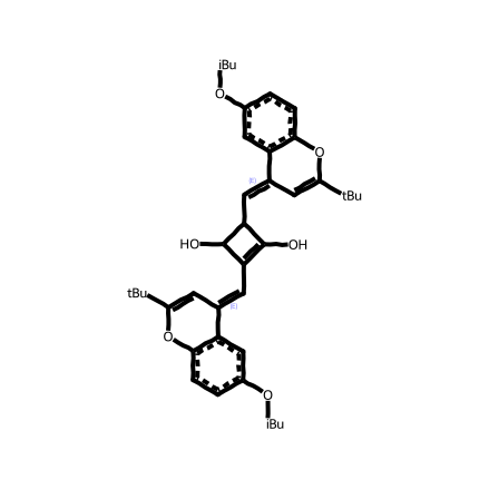 CCC(C)Oc1ccc2c(c1)/C(=C/C1=C(O)C(/C=C3\C=C(C(C)(C)C)Oc4ccc(OC(C)CC)cc43)C1O)C=C(C(C)(C)C)O2